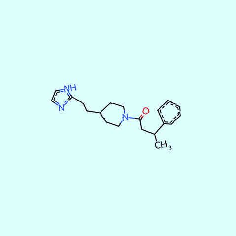 CC(CC(=O)N1CCC(CCc2ncc[nH]2)CC1)c1ccccc1